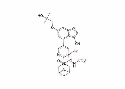 CC(C)C[C@@H](NC(=O)O)C(=O)N1C2CC1CN(c1ccc(-c3cc(OCC(C)(C)O)cn4ncc(C#N)c34)cn1)C2